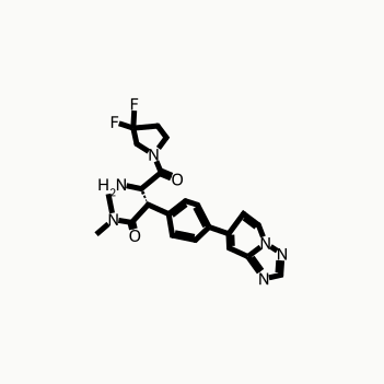 CN(C)C(=O)[C@@H](c1ccc(-c2ccn3ncnc3c2)cc1)C(N)C(=O)N1CCC(F)(F)C1